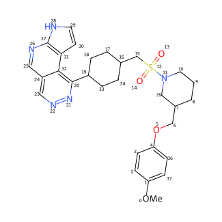 COc1ccc(OCC2CCCN(S(=O)(=O)CC3CCC(c4nncc5cnc6[nH]ccc6c45)CC3)C2)cc1